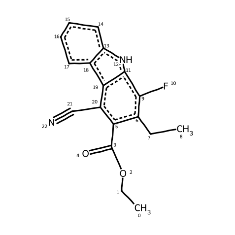 CCOC(=O)c1c(CC)c(F)c2[nH]c3ccccc3c2c1C#N